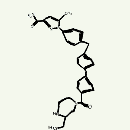 Cc1cc(C(N)=O)nn1-c1ccc(Cc2ccc(-c3ccc(C(=O)N4CCNC(CO)C4)cc3)cc2)cc1